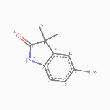 CC1(C)C(=O)Nc2ccc(I)cc21